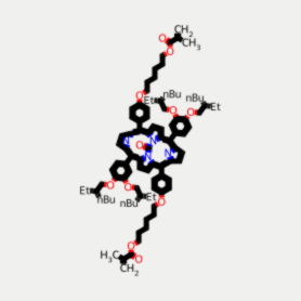 C=C(C)C(=O)OCCCCCCOc1ccc(-c2c3nc(c(-c4ccc(OCC(CC)CCCC)c(OCC(CC)CCCC)c4)c4ccc5c(-c6ccc(OCCCCCCOC(=O)C(=C)C)cc6)c6nc(c(-c7ccc(OCC(CC)CCCC)c(OCC(CC)CCCC)c7)c7ccc2n7c(=O)n54)C=C6)C=C3)cc1